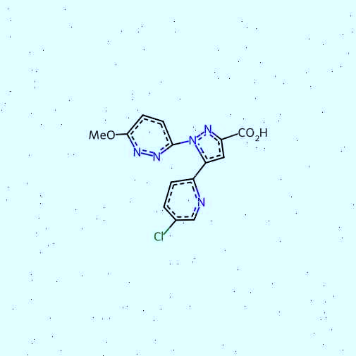 COc1ccc(-n2nc(C(=O)O)cc2-c2ccc(Cl)cn2)nn1